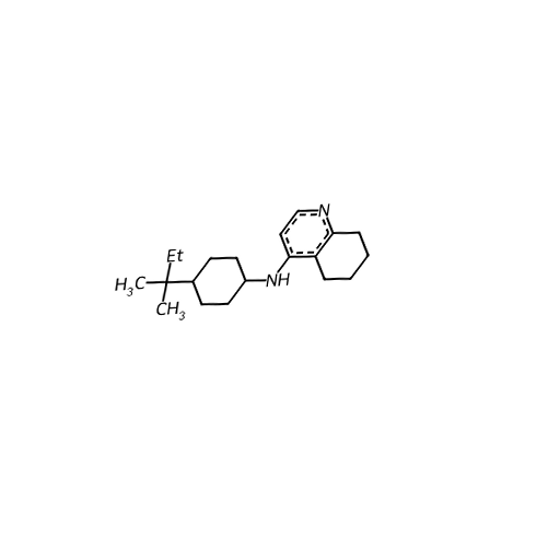 CCC(C)(C)C1CCC(Nc2ccnc3c2CCCC3)CC1